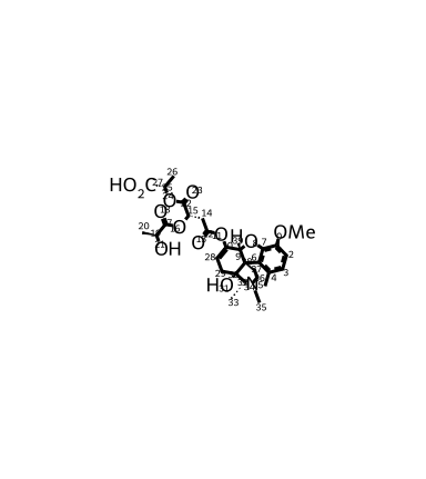 COc1ccc(C)c2c1O[C@H]1C(OC(=O)C[C@H](OC(=O)[C@H](C)O)C(=O)O[C@@H](C)C(=O)O)=CC[C@@]3(O)[C@@H](C)N(C)CC[C@]213